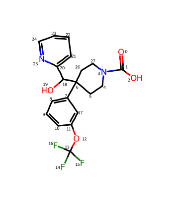 O=C(O)N1CCC(c2cccc(OC(F)(F)F)c2)(C(O)c2ccccn2)CC1